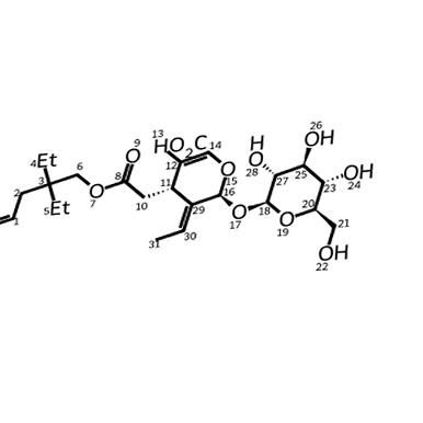 C=CCC(CC)(CC)COC(=O)C[C@@H]1C(C(=O)O)=CO[C@@H](O[C@@H]2O[C@H](CO)[C@@H](O)[C@H](O)[C@H]2O)/C1=C/C